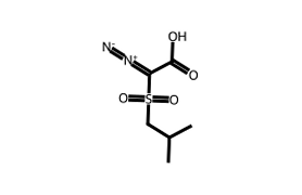 CC(C)CS(=O)(=O)C(=[N+]=[N-])C(=O)O